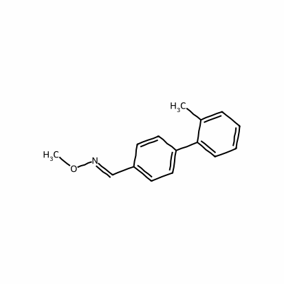 CO/N=C/c1ccc(-c2ccccc2C)cc1